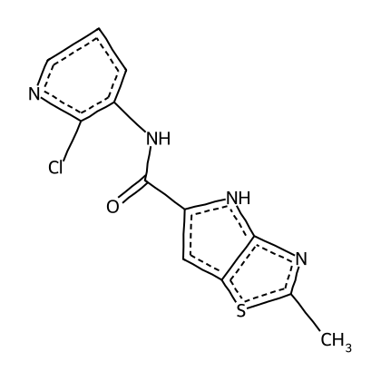 Cc1nc2[nH]c(C(=O)Nc3cccnc3Cl)cc2s1